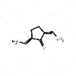 CC=C1CCC(=CC)C1=O